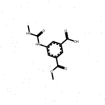 CNC(=O)Nc1cc(C(=O)O)cc(C(=O)OC)c1